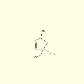 CC1C=CC(C)(CO)C1